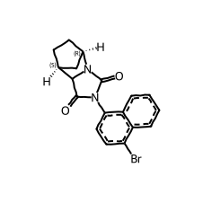 O=C1C2[C@H]3CC[C@H](C3)N2C(=O)N1c1ccc(Br)c2ccccc12